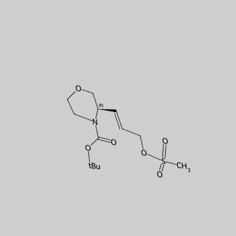 CC(C)(C)OC(=O)N1CCOC[C@H]1C=CCOS(C)(=O)=O